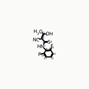 C/C(O)=C(\C#N)C(=S)Nc1c(F)cccc1F